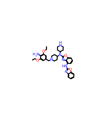 CCOc1cc(CN2CCC(N(c3nc4c(Nc5nc6ccccc6o5)cccc4o3)C3CCNCC3)CC2)cc(OCC)c1N